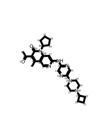 CC(=O)c1c(C)c2cnc(Nc3cnc(N4CCN(C5CCC5)CC4)cn3)cc2n(C2CCCC2)c1=O